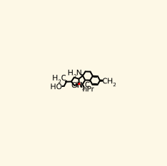 C=C1C=CC2(C)C(=C1)CCC(N)(C1CCC(C(=C)CO)C1)C2C(CCC)N=O